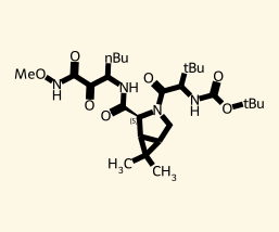 CCCCC(NC(=O)[C@@H]1C2C(CN1C(=O)C(NC(=O)OC(C)(C)C)C(C)(C)C)C2(C)C)C(=O)C(=O)NOC